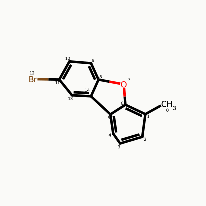 Cc1cccc2c1oc1ccc(Br)cc12